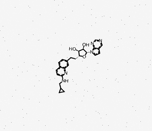 O[C@@H]1[C@H](O)[C@@H](CCc2ccc3ccc(NCC4CC4)nc3c2)O[C@H]1n1ccc2cncnc21